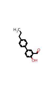 CCCc1ccc(-c2ccc(O)c(C=O)c2)cc1